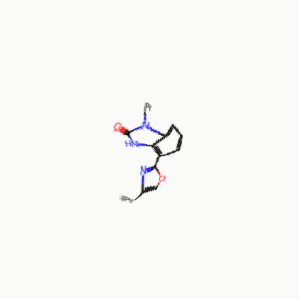 CC(C)c1coc(-c2cccc3c2[nH]c(=O)n3C(C)C)n1